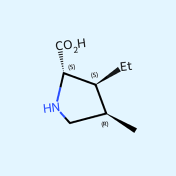 CC[C@@H]1[C@@H](C(=O)O)NC[C@@H]1C